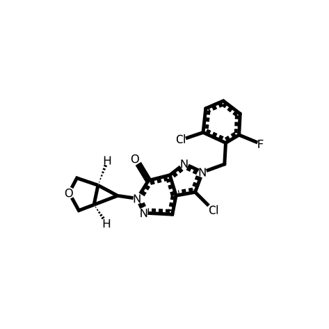 O=c1c2nn(Cc3c(F)cccc3Cl)c(Cl)c2cnn1C1[C@H]2COC[C@@H]12